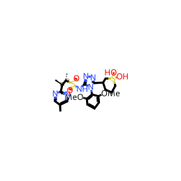 COc1cccc(OC)c1-n1c(NS(=O)(=O)[C@@H](C)[C@H](C)c2ncc(C)cn2)nnc1C1CCCS(O)(O)C1